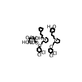 Clc1ccc(OCCC2CCCCN2CC=Cc2ccccc2)cc1Cl.Clc1ccc(OCCC2CCCCN2CC=Cc2ccccc2)cc1Cl.O.O=C(O)C(=O)O.O=C(O)C(=O)O